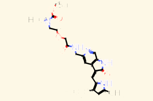 CCOC(=O)c1cc(C)[nH]c1/C=C1\C(=O)Nc2cnc(CNC(=O)COCCN(C)C(=O)OC(C)(C)C)cc21